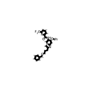 CC(C)Oc1cc2nc(CCCOCc3ccccc3)cn2cc1NC(=O)c1cccc(C(F)(F)F)n1